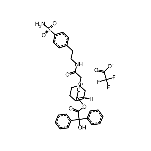 NS(=O)(=O)c1ccc(CCNC(=O)C[N+]23CCC(CC2)[C@@H](OC(=O)C(O)(c2ccccc2)c2ccccc2)C3)cc1.O=C([O-])C(F)(F)F